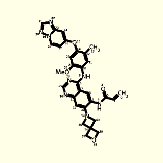 C=CC(=O)Nc1cc2c(Nc3cc(C)c(Oc4ccn5ncnc5c4)cc3OC)ncnc2cc1N1CC2(COC2)C1